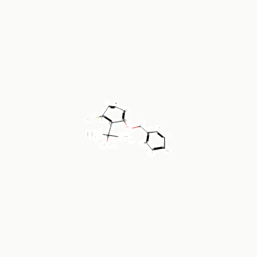 CC(C)(O)c1c(F)cccc1OCc1ccccc1